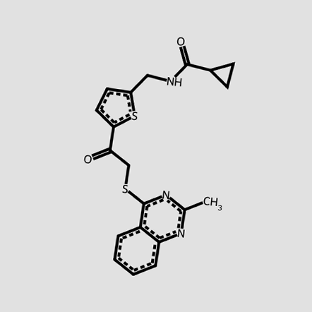 Cc1nc(SCC(=O)c2ccc(CNC(=O)C3CC3)s2)c2ccccc2n1